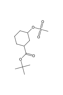 CC(C)(C)OC(=O)C1CCCC(OS(C)(=O)=O)C1